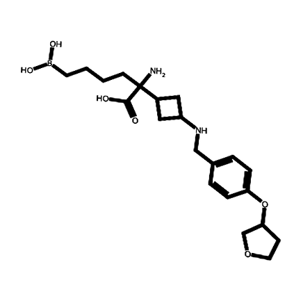 NC(CCCCB(O)O)(C(=O)O)C1CC(NCc2ccc(OC3CCOC3)cc2)C1